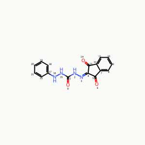 O=C(NN=c1c(=O)c2ccccc2c1=O)NNc1ccccc1